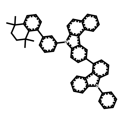 CC1(C)CCC(C)(C)c2c(-c3cccc(-n4c5ccc(-c6cccc7c6c6ccccc6n7-c6ccccc6)cc5c5c6ccccc6ccc54)c3)cccc21